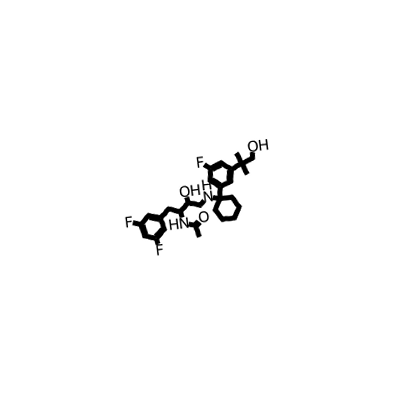 CC(=O)NC(Cc1cc(F)cc(F)c1)C(O)CNC1(c2cc(F)cc(C(C)(C)CO)c2)CCCCC1